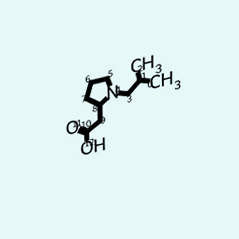 CC(C)CN1CCCC1CC(=O)O